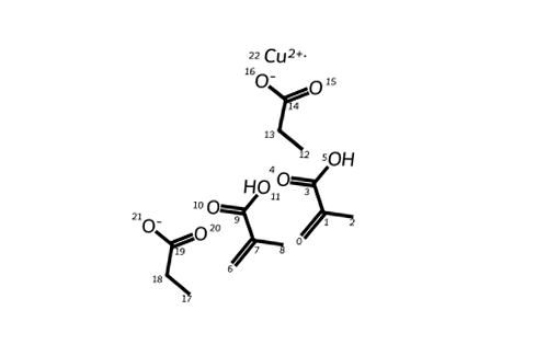 C=C(C)C(=O)O.C=C(C)C(=O)O.CCC(=O)[O-].CCC(=O)[O-].[Cu+2]